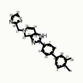 Cc1ccc(-c2ccc(-c3nc4c([nH]3)C=CN(Cc3nccs3)C4)cc2)cc1C